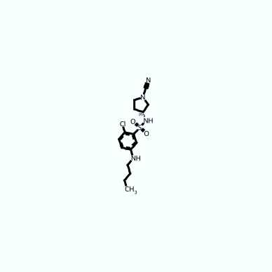 CCCCNc1ccc(Cl)c(S(=O)(=O)N[C@@H]2CCN(C#N)C2)c1